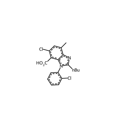 CCCCc1nc2c(C)cc(Cl)c(C(=O)O)c2n1-c1ccccc1Cl